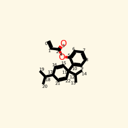 C=CC(=O)Oc1ccccc1C1(C(C)C)C=CC(C(C)C)C=C1